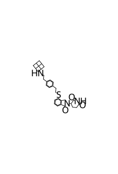 O=C1CCC(N2Cc3c(SCCc4ccc(CCNC56CC7CC8CC(C5)C876)cc4)cccc3C2=O)C(=O)N1